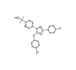 CC(C)(O)c1ccc(-c2nc(-c3ccc(F)cc3)oc2Sc2ccc(Cl)cc2)cn1